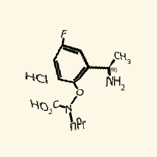 CCCN(Oc1ccc(F)cc1[C@@H](C)N)C(=O)O.Cl